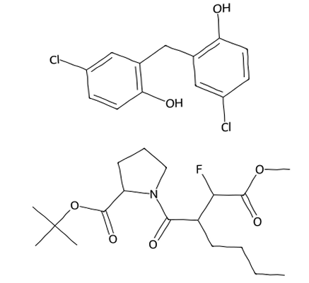 CCCCC(C(=O)N1CCCC1C(=O)OC(C)(C)C)C(F)C(=O)OC.Oc1ccc(Cl)cc1Cc1cc(Cl)ccc1O